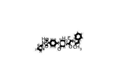 Cc1cc2ccccc2n1C(C)C(=O)N1CCN(c2ccc(S(=O)(=O)Nc3nccs3)cc2)C(=O)C1